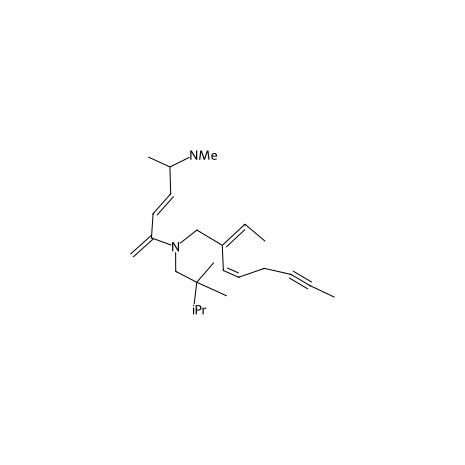 C=C(/C=C/C(C)NC)N(CC(/C=C\CC#CC)=C/C)CC(C)(C)C(C)C